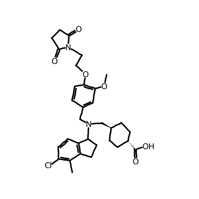 COc1cc(CN(C[C@H]2CC[C@H](C(=O)O)CC2)C2CCc3c2ccc(Cl)c3C)ccc1OCCN1C(=O)CCC1=O